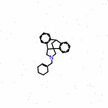 C1=C(CN2CC3c4ccccc4C4CC3(C2)c2ccccc24)CCCC1